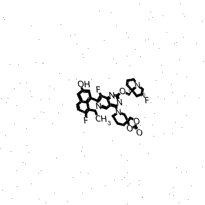 CCc1c(F)ccc2cc(O)cc(-c3ncc4c(N5CCCC6(COC(=O)O6)C5)nc(OC[C@@]56CCCN5C[C@H](F)C6)nc4c3F)c12